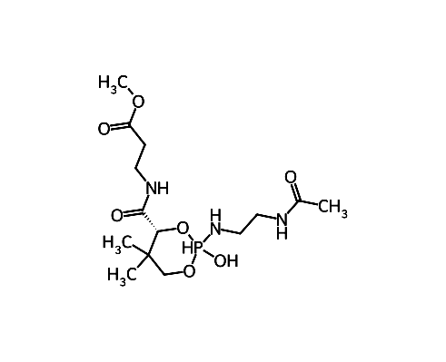 COC(=O)CCNC(=O)[C@@H]1O[PH](O)(NCCNC(C)=O)OCC1(C)C